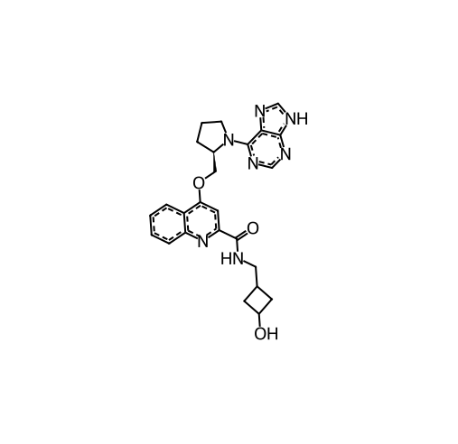 O=C(NCC1CC(O)C1)c1cc(OC[C@H]2CCCN2c2ncnc3[nH]cnc23)c2ccccc2n1